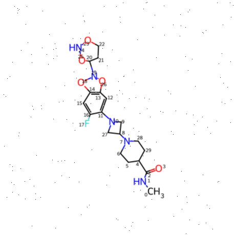 CNC(=O)C1CCN(C2CN(c3cc4c(cc3F)ON(C3CCONO3)O4)C2)CC1